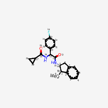 CO[C@@H]1c2ccccc2C[C@H]1NC(=O)C(NC(=O)C1CC1)c1ccc(F)cc1